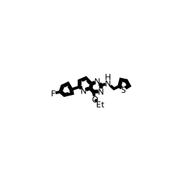 CCOc1nc(NCc2cccs2)nc2ccc(-c3ccc(F)cc3)nc12